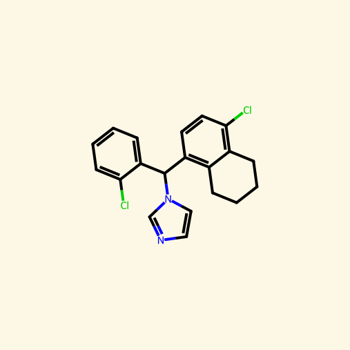 Clc1ccccc1C(c1ccc(Cl)c2c1CCCC2)n1ccnc1